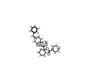 N#CC1(NC(=O)C2(OC(=O)N3CCOCC3)CCCCC2)CCN(Cc2ccccc2)CC1